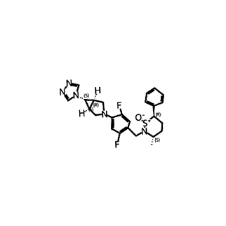 C[C@H]1CC[C@H](c2ccccc2)[S+]([O-])N1Cc1cc(F)c(N2C[C@@H]3[C@H](C2)[C@H]3n2cnnc2)cc1F